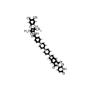 CC1(C)[C@H](NC(=O)c2ccc(N3CCC(N4CCC(N5Cc6cc7c(cc6C5)C(=O)N(C5CCC(=O)NC5=O)C7=O)CC4)CC3)cc2)C(C)(C)[C@H]1Oc1ccc(C#N)c(Cl)c1